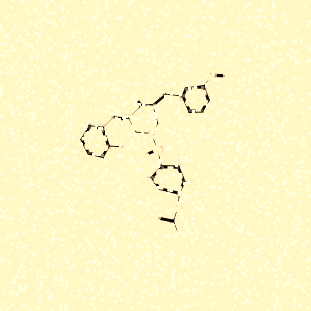 CC(=O)Nc1ccc(S(=O)(=O)N2CC(=Cc3cccc(N=O)c3)C(=O)C(=Cc3ccccc3F)C2)cc1